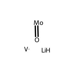 [LiH].[O]=[Mo].[V]